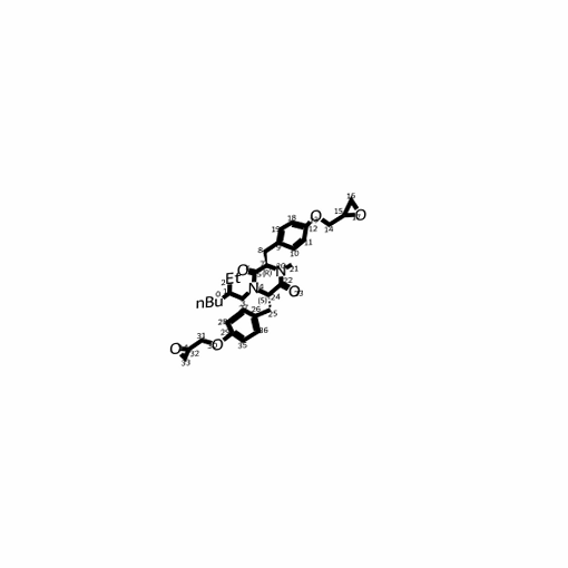 CCCCC(CC)CN1C(=O)[C@@H](Cc2ccc(OCC3CO3)cc2)N(C)C(=O)[C@@H]1Cc1ccc(OCC2CO2)cc1